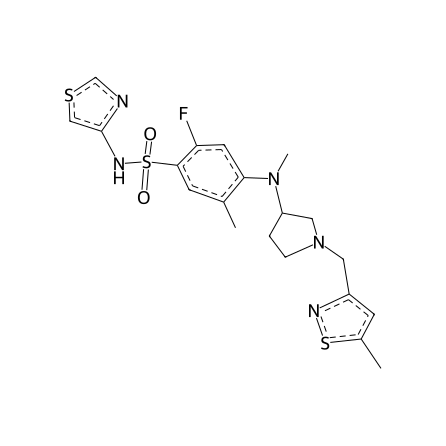 Cc1cc(CN2CCC(N(C)c3cc(F)c(S(=O)(=O)Nc4cscn4)cc3C)C2)ns1